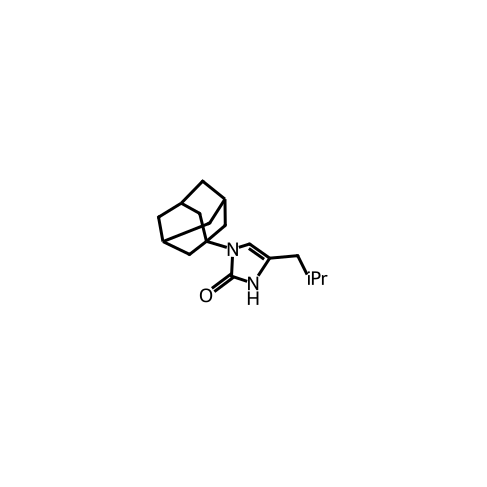 CC(C)Cc1cn(C23CC4CC(CC(C4)C2)C3)c(=O)[nH]1